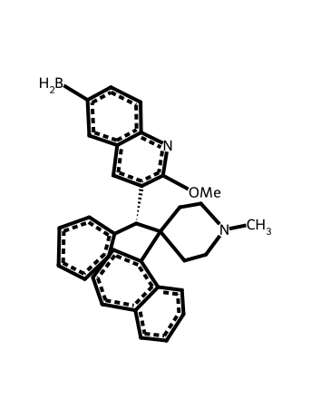 Bc1ccc2nc(OC)c([C@@H](c3ccccc3)C3(c4cccc5ccccc45)CCN(C)CC3)cc2c1